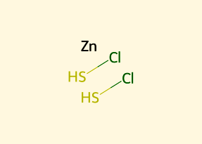 SCl.SCl.[Zn]